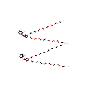 COCCOCCOCCOCCOCCOCCOCCOCCOCCC(CCOCCOCCOCCOCCOCCOCCOCCOCCOC)(C(=O)[O-])C(=O)O[C@@]1(N)CCCC[C@H]1N.COCCOCCOCCOCCOCCOCCOCCOCCOCCC(CCOCCOCCOCCOCCOCCOCCOCCOCCOC)(C(=O)[O-])C(=O)O[C@@]1(N)CCCC[C@H]1N.[Pt+2]